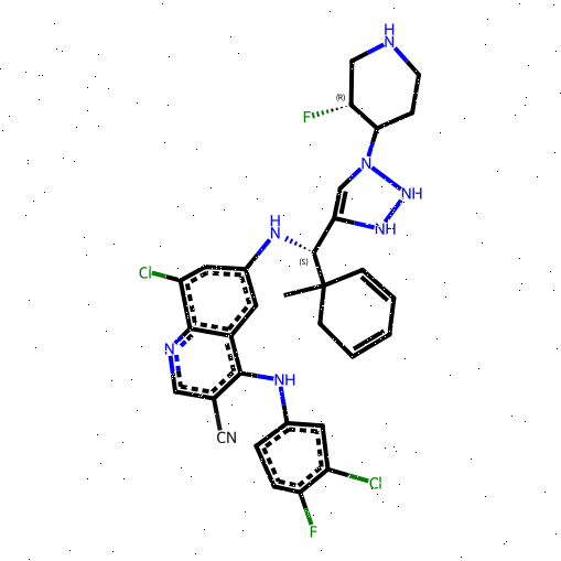 CC1([C@H](Nc2cc(Cl)c3ncc(C#N)c(Nc4ccc(F)c(Cl)c4)c3c2)C2=CN(C3CCNC[C@H]3F)NN2)C=CC=CC1